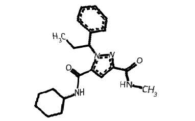 CCC(c1ccccc1)n1nc(C(=O)NC)cc1C(=O)NC1CCCCC1